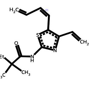 C=C/C=C\c1sc(NC(=O)C(C)(C)CC)nc1C=C